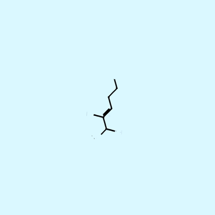 CC/C(=C\CCI)C(O)C#N